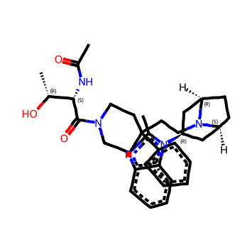 CC(=O)N[C@H](C(=O)N1CCC(CCN2[C@@H]3CC[C@H]2C[C@@H](n2c(C)nc4ccccc42)C3)(c2ccccc2)CC1)[C@@H](C)O